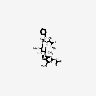 CNc1nc(NC(=O)C(C)C)nc2c1ncn2[C@](C)(F)[C@H](O)C(COP(=O)(N[C@@H](C)C(=O)OC(C)C)Oc1ccccc1)OC